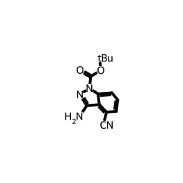 CC(C)(C)OC(=O)n1nc(N)c2c(C#N)cccc21